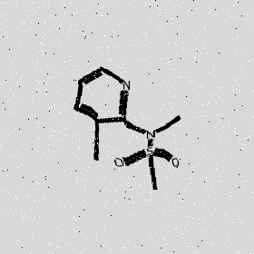 Cc1cccnc1N(C)S(C)(=O)=O